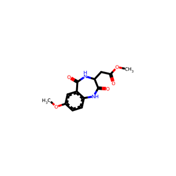 COC(=O)CC1NC(=O)c2cc(OC)ccc2NC1=O